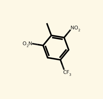 Cc1c([N+](=O)[O-])cc(C(F)(F)F)cc1[N+](=O)[O-]